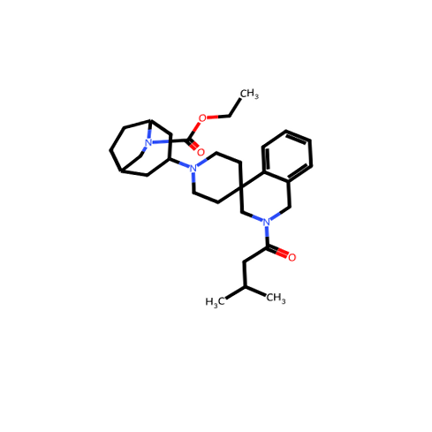 CCOC(=O)N1CC2CCC1CC(N1CCC3(CC1)CN(C(=O)CC(C)C)Cc1ccccc13)C2